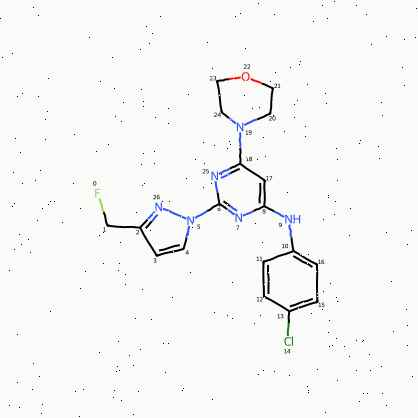 FCc1ccn(-c2nc(Nc3ccc(Cl)cc3)cc(N3CCOCC3)n2)n1